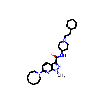 Cn1nc(C(=O)NC2CCN(CCC3CCCCC3)CC2)c2ccc(N3CCCCCCC3)nc21